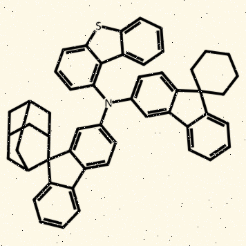 c1ccc2c(c1)-c1cc(N(c3ccc4c(c3)C3(c5ccccc5-4)C4CC5CC(C4)CC3C5)c3cccc4sc5ccccc5c34)ccc1C21CCCCC1